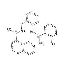 C[C@H](Nc1ccccc1CN[C@@H](C)c1cccc2ccccc12)c1ccccc1O